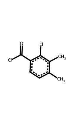 Cc1ccc(C(=O)Cl)c(Cl)c1C